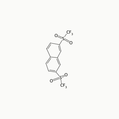 O=S(=O)(c1ccc2ccc(S(=O)(=O)C(F)(F)F)cc2c1)C(F)(F)F